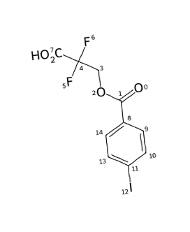 O=C(OCC(F)(F)C(=O)O)c1ccc(I)cc1